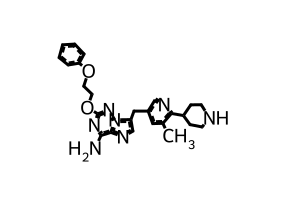 Cc1cc(Cc2cnc3c(N)nc(OCCOc4ccccc4)nn23)cnc1C1CCNCC1